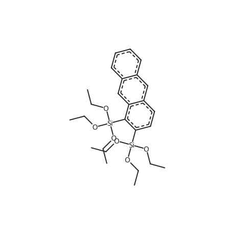 CCO[Si](OCC)(OCC)c1ccc2cc3ccccc3cc2c1[Si](OCC)(OCC)OCC